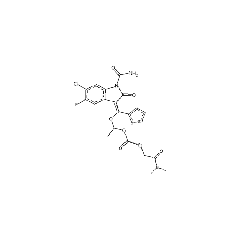 CC(OC(=O)OCC(=O)N(C)C)OC(=C1C(=O)N(C(N)=O)c2cc(Cl)c(F)cc21)c1cccs1